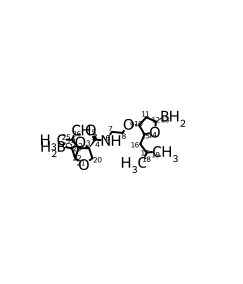 BC1O[C@]2(C(=O)NCCO[C@@H]3C[C@H](B)OC3CC(C)C)COC1C2C(C)C